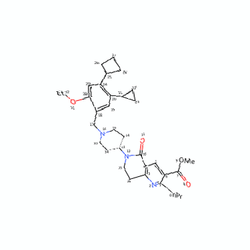 CCCc1nc2c(cc1C(=O)OC)C(=O)N(C1CCN(Cc3cc(C4CC4)c(C4CCC4)cc3OCC)CC1)CC2